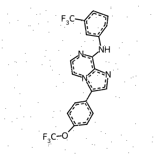 FC(F)(F)Oc1ccc(-c2cnc3c(Nc4cccc(C(F)(F)F)c4)nccn23)cc1